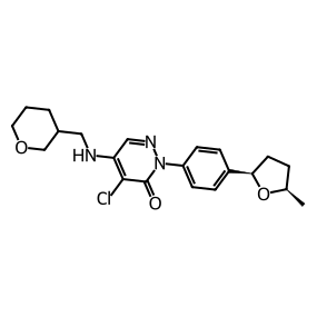 C[C@@H]1CC[C@H](c2ccc(-n3ncc(NCC4CCCOC4)c(Cl)c3=O)cc2)O1